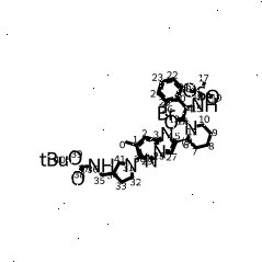 Cc1cc2nc([C@@H]3CCCCN3C(=O)C(NS(C)(=O)=O)c3ccccc3Br)cn2nc1N1CCC(CNC(=O)OC(C)(C)C)C1